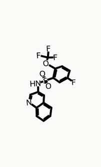 O=S(=O)(Nc1cnc2ccccc2c1)c1cc(F)ccc1OC(F)(F)F